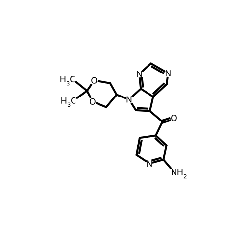 CC1(C)OCC(n2cc(C(=O)c3ccnc(N)c3)c3cncnc32)CO1